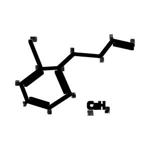 C=CCCc1ccccc1C.[CaH2]